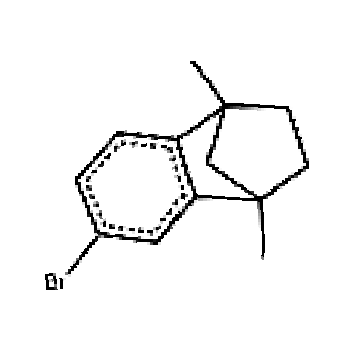 CC12CCC(C)(C1)c1cc(Br)ccc12